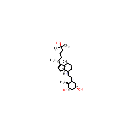 C=C1/C(=C\C=C2/CCC[C@]3(C)C([C@H](C)CCCC(C)(C)O)=CC[C@@H]23)C[C@@H](O)C[C@@H]1O